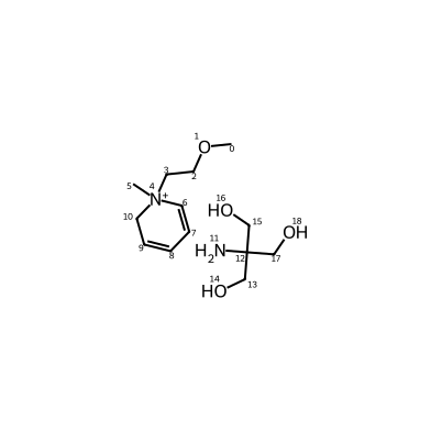 COCC[N+]1(C)C=CC=CC1.NC(CO)(CO)CO